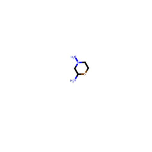 NC1CN(N)CCS1